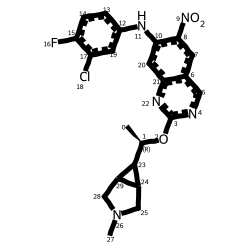 C[C@@H](Oc1ncc2cc([N+](=O)[O-])c(Nc3ccc(F)c(Cl)c3)cc2n1)C1C2CN(C)CC21